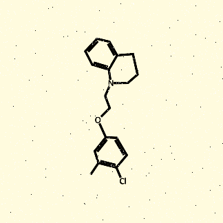 Cc1cc(OCCN2CCCc3ccccc32)ccc1Cl